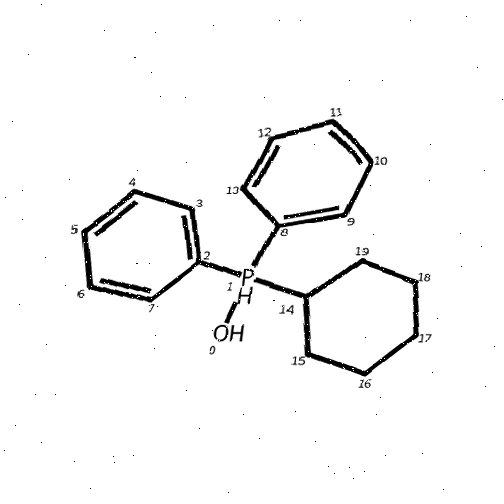 O[PH](c1ccccc1)(c1ccccc1)C1CCCCC1